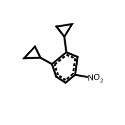 O=[N+]([O-])c1ccc(C2CC2)c(C2CC2)c1